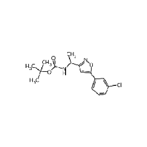 CC(NC(=O)OC(C)(C)C)c1cc(-c2cccc(Cl)c2)on1